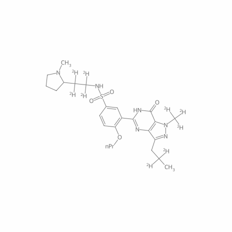 [2H]C([2H])(C)Cc1nn(C([2H])([2H])[2H])c2c(=O)[nH]c(-c3cc(S(=O)(=O)NC([2H])([2H])C([2H])([2H])C4CCCN4C)ccc3OCCC)nc12